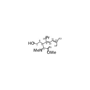 C=C(OC)C(NC)C(CCO)/C(=C/C=C(C)C)C(C)C